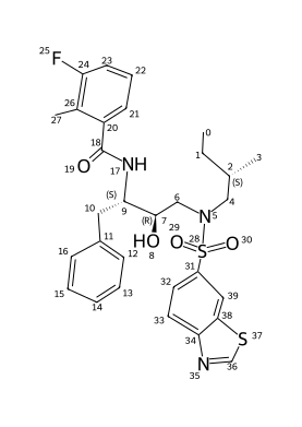 CC[C@H](C)CN(C[C@@H](O)[C@H](Cc1ccccc1)NC(=O)c1cccc(F)c1C)S(=O)(=O)c1ccc2ncsc2c1